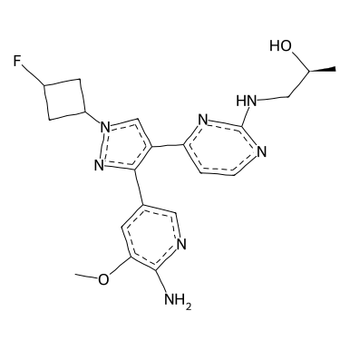 COc1cc(-c2nn(C3CC(F)C3)cc2-c2ccnc(NC[C@H](C)O)n2)cnc1N